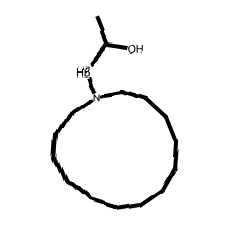 CC(O)BN1CCCCCCCCCCCCC1